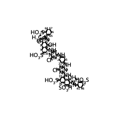 CS(=O)(=O)c1cc2cc(S(=O)(=O)O)cc(Nc3nc(Cl)nc(Nc4ccc(Nc5nc(Cl)nc(Nc6cc(S(=O)(=O)O)cc7cc(S(=O)(=O)O)c(/N=N/c8ccccc8S(=O)(=O)O)c(O)c67)n5)cc4)n3)c2c(O)c1/N=N/c1ccccc1S(=O)(=O)O